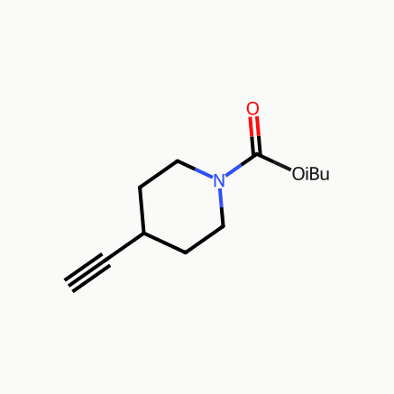 C#CC1CCN(C(=O)OCC(C)C)CC1